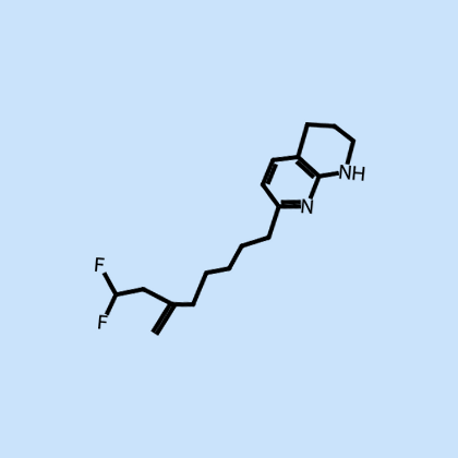 C=C(CCCCCc1ccc2c(n1)NCCC2)CC(F)F